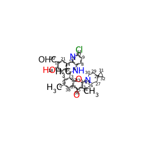 Cc1cc(C(C)Nc2ccc(Cl)nc2-c2ccc(O)c(C=O)c2)c2oc(N3CCC4(CC3)CC4)c(C)c(=O)c2c1